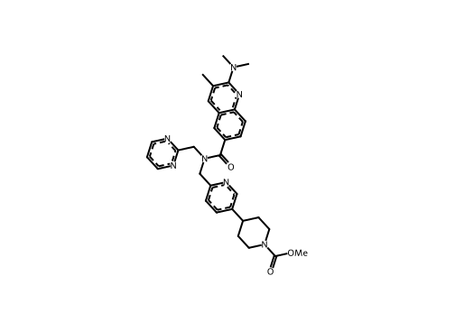 COC(=O)N1CCC(c2ccc(CN(Cc3ncccn3)C(=O)c3ccc4nc(N(C)C)c(C)cc4c3)nc2)CC1